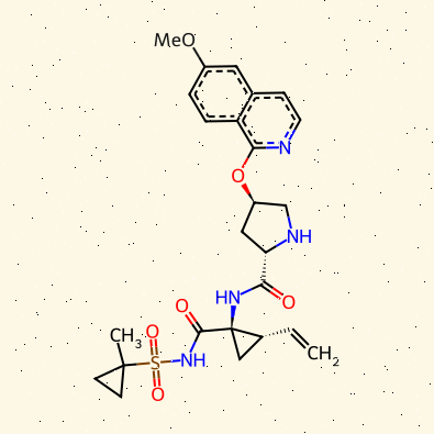 C=C[C@@H]1C[C@]1(NC(=O)[C@@H]1C[C@@H](Oc2nccc3cc(OC)ccc23)CN1)C(=O)NS(=O)(=O)C1(C)CC1